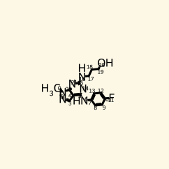 Cn1ncc2c(Nc3ccc(F)cc3)nc(NCCCO)nc21